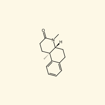 CN1C(=O)CC[C@]2(C)c3ccccc3CC[C@@H]12